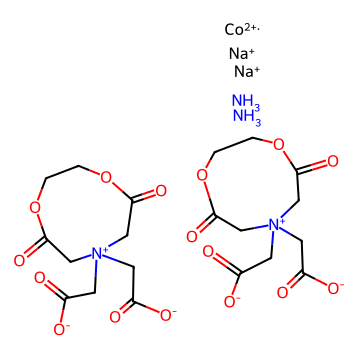 N.N.O=C([O-])C[N+]1(CC(=O)[O-])CC(=O)OCCOC(=O)C1.O=C([O-])C[N+]1(CC(=O)[O-])CC(=O)OCCOC(=O)C1.[Co+2].[Na+].[Na+]